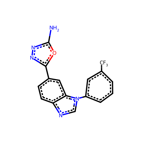 Nc1nnc(-c2ccc3ncn(-c4cccc(C(F)(F)F)c4)c3c2)o1